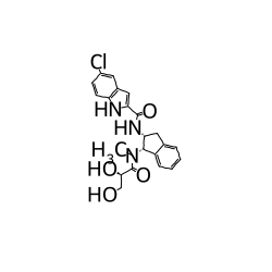 CN(C(=O)[C@H](O)CO)[C@H]1c2ccccc2C[C@H]1NC(=O)c1cc2cc(Cl)ccc2[nH]1